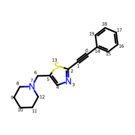 C(#Cc1ncc(CN2CCCCC2)s1)c1ccccc1